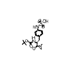 CN(C)C(=O)[C@H](Cc1ccc(NS(=O)(=O)O)cc1)NC(=O)OC(C)(C)C